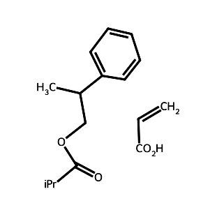 C=CC(=O)O.CC(C)C(=O)OCC(C)c1ccccc1